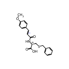 COc1ccc(/C=C/C(=O)N[C@@H](CSCc2ccccc2)C(=O)O)cc1